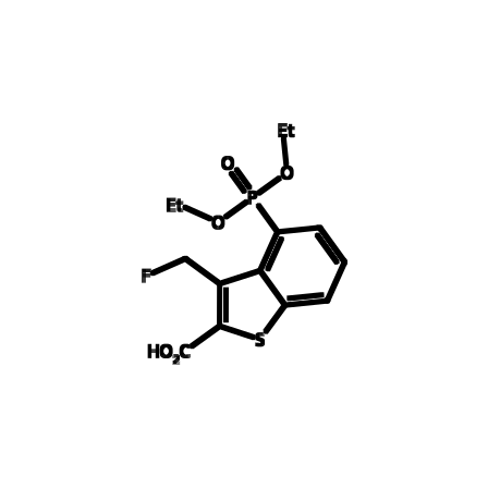 CCOP(=O)(OCC)c1cccc2sc(C(=O)O)c(CF)c12